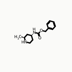 C[C@H]1C[C@H](NC(=O)OCc2ccccc2)CCN1